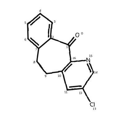 O=C1c2ccccc2CCc2cc(Cl)cnc21